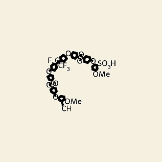 C#Cc1cc(Oc2ccc(S(=O)(=O)c3ccc(Oc4ccc(C(c5ccc(Oc6ccc(S(=O)(=O)c7ccc(Oc8ccc(OC)cc8S(=O)(=O)O)cc7)cc6)cc5)(C(F)(F)F)C(F)(F)F)cc4)cc3)cc2)ccc1OC